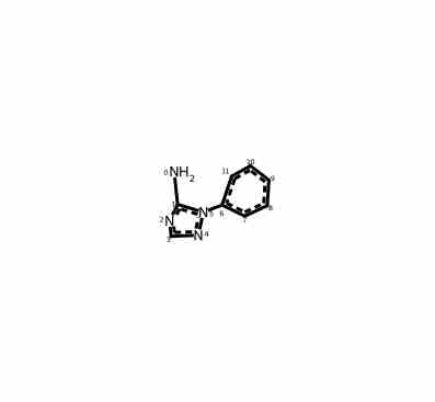 Nc1ncnn1-c1ccccc1